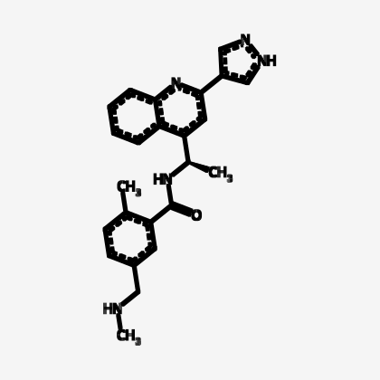 CNCc1ccc(C)c(C(=O)N[C@H](C)c2cc(-c3cn[nH]c3)nc3ccccc23)c1